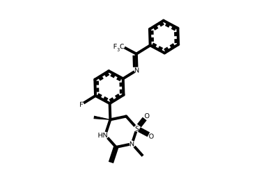 C=C1N[C@](C)(c2cc(/N=C(/c3ccccc3)C(F)(F)F)ccc2F)CS(=O)(=O)N1C